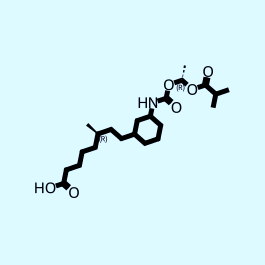 CC(C)C(=O)O[C@@H](C)OC(=O)NC1CCCC(CC[C@H](C)CCCCC(=O)O)C1